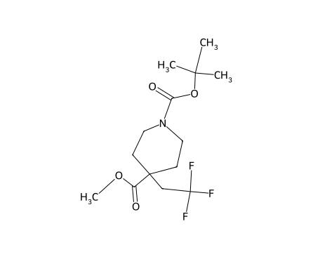 COC(=O)C1(CC(F)(F)F)CCN(C(=O)OC(C)(C)C)CC1